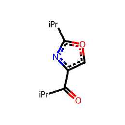 CC(C)C(=O)c1coc(C(C)C)n1